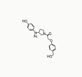 CC(=O)N(c1ccc(O)cc1)C1CCN(C(=O)COc2ccc(CO)cc2)C1